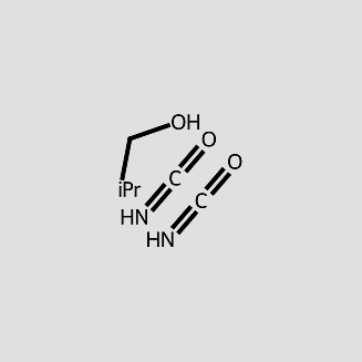 CC(C)CO.N=C=O.N=C=O